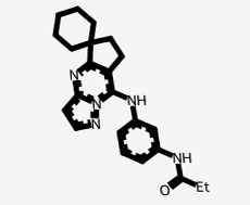 CCC(=O)Nc1cccc(Nc2c3c(nc4ccnn24)C2(CCCCC2)CC3)c1